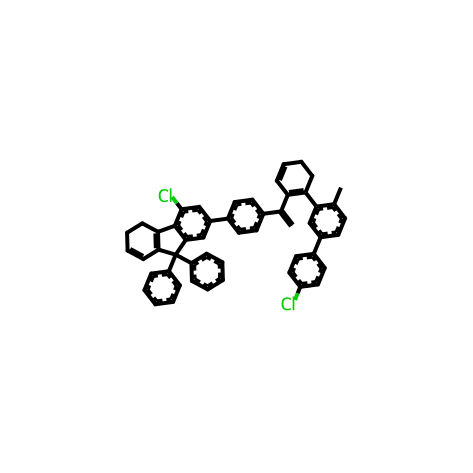 C=C(C1=C(c2cc(-c3ccc(Cl)cc3)ccc2C)CCC=C1)c1ccc(-c2cc(Cl)c3c(c2)C(c2ccccc2)(c2ccccc2)C2=C3CCC=C2)cc1